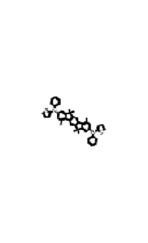 Cc1cc(N(c2ccccc2)c2cccs2)cc2c1-c1cc3c(cc1C2(C)C)-c1c(C)cc(N(c2ccccc2)c2cccs2)cc1C3(C)C